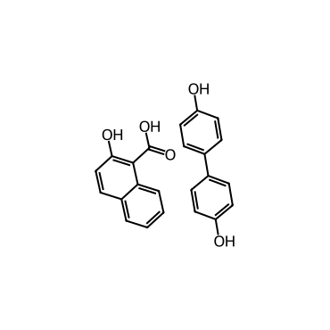 O=C(O)c1c(O)ccc2ccccc12.Oc1ccc(-c2ccc(O)cc2)cc1